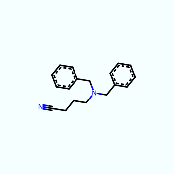 N#CCCCN(Cc1ccccc1)Cc1ccccc1